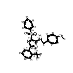 COc1ccc(CNc2oc(-c3ccccc3C(F)(F)F)nc2S(=O)(=O)c2ccccc2)cc1